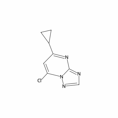 Clc1cc(C2CC2)nc2ncnn12